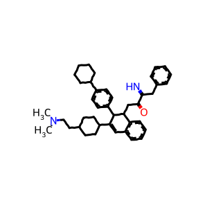 CN(C)CCC1CCC(C2=Cc3ccccc3C(CC(=O)C(=N)Cc3ccccc3)C2c2ccc(C3CCCCC3)cc2)CC1